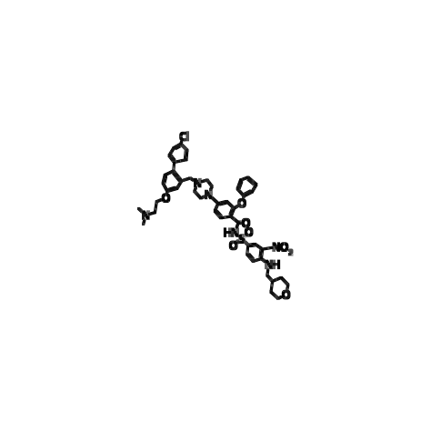 CN(C)CCOc1ccc(-c2ccc(Cl)cc2)c(CN2CCN(c3ccc(C(=O)NS(=O)(=O)c4ccc(NCC5CCOCC5)c([N+](=O)[O-])c4)c(Oc4ccccc4)c3)CC2)c1